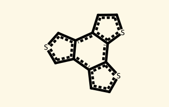 c1cc2c3cscc3c3ccsc3c2s1